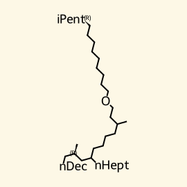 CCCCCCCCCCC[C@@H](C)CC(CCCCCCC)CCCCC(C)CCOCCCCCCCCC[C@H](C)CCC